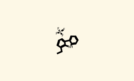 CCc1cccc2c1[nH]c1ccccc12.F[B-](F)(F)F